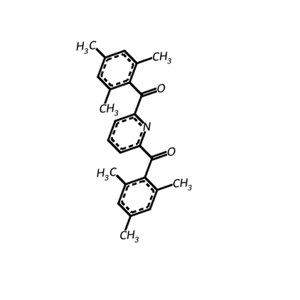 Cc1cc(C)c(C(=O)c2cccc(C(=O)c3c(C)cc(C)cc3C)n2)c(C)c1